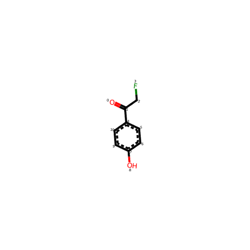 O=C(CF)c1ccc(O)cc1